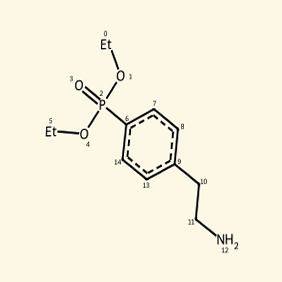 CCOP(=O)(OCC)c1ccc(CCN)cc1